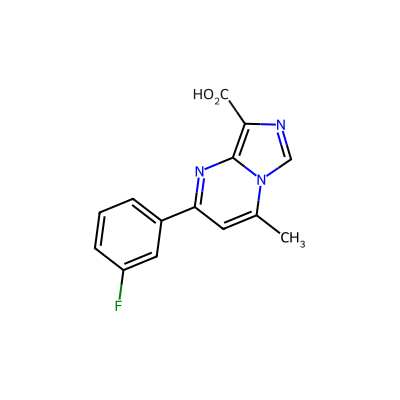 Cc1cc(-c2cccc(F)c2)nc2c(C(=O)O)ncn12